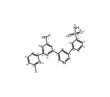 CNc1cc(-c2cncc(-c3cccc(S(N)(=O)=O)c3)c2)nc(-c2cccc(C)n2)n1